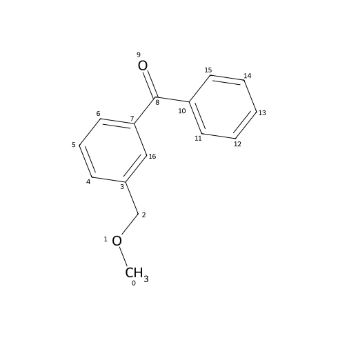 COCc1cccc(C(=O)c2ccccc2)c1